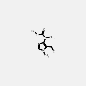 CN(C(=O)OC(C)(C)C)c1ncn(C)c1CCl